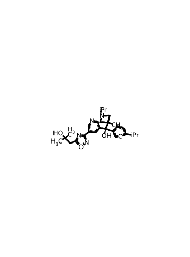 CC(C)c1ccc([C@](O)(c2cncc(-c3noc(CC(C)(C)O)n3)c2)C2(C)CN(C(C)C)C2)cc1